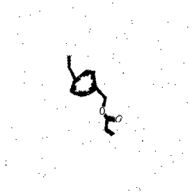 [CH2]Cc1ccc(COC(=O)C=C)cc1